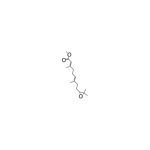 COC(=O)/C=C(\C)CC/C=C(\C)CCC1OC1(C)C